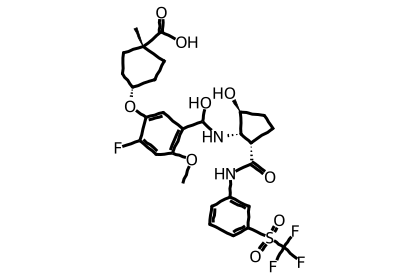 COc1cc(F)c(O[C@H]2CC[C@@](C)(C(=O)O)CC2)cc1C(O)N[C@H]1[C@@H](C(=O)Nc2cccc(S(=O)(=O)C(F)(F)F)c2)CC[C@@H]1O